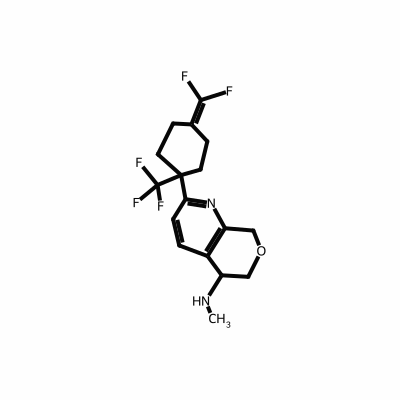 CNC1COCc2nc(C3(C(F)(F)F)CCC(=C(F)F)CC3)ccc21